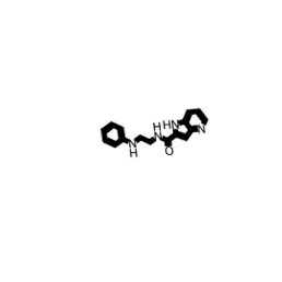 O=C(NCCNc1ccccc1)c1cc2ncccc2[nH]1